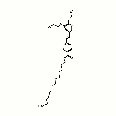 CCCCCCCCCCCCCCOC(=O)c1ccc(/C=C/c2ccc(OCOC)c(OCOC)c2)cc1